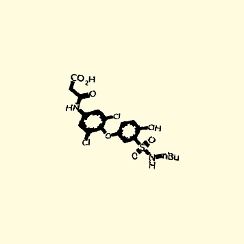 CCCCNS(=O)(=O)c1cc(Oc2c(Cl)cc(NC(=O)CC(=O)O)cc2Cl)ccc1O